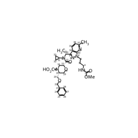 COC(=O)NCCCn1nc([C@@H](C)N(C(=O)[C@H]2CN(C(=O)O)[C@@H](COCc3ccccc3)CO2)C2CC2)c2ccc(C)nc21